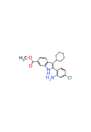 COC(=O)c1ccc2c(C3CCCCC3)c(-c3ccc(Cl)cc3N)[nH]c2c1